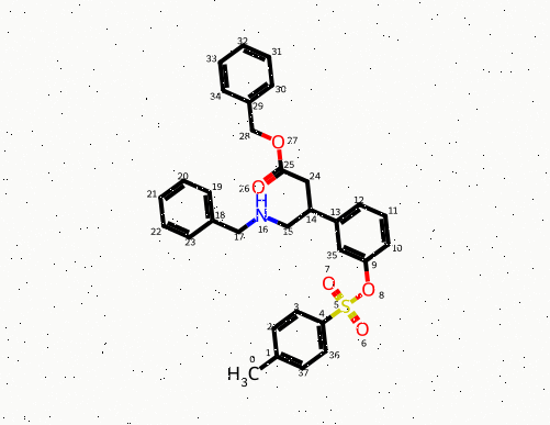 Cc1ccc(S(=O)(=O)Oc2cccc(C(CNCc3ccccc3)CC(=O)OCc3ccccc3)c2)cc1